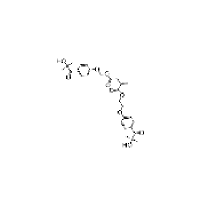 C=C(CC(=O)OCOc1ccc(C(=O)C(C)(C)O)cc1)C(=O)OCCOc1ccc(C(=O)C(C)(C)O)cc1